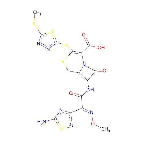 CON=C(C(=O)NC1C(=O)N2C(C(=O)O)=C(Sc3nnc(SC)s3)SCC12)c1csc(N)n1